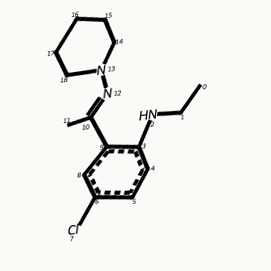 CCNc1ccc(Cl)cc1/C(C)=N/N1CCCCC1